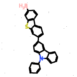 Bc1ccc2c(c1)sc1cc(-c3ccc4c(c3)c3ccccc3n4-c3ccccc3)ccc12